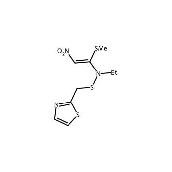 CCN(SCc1nccs1)C(=C[N+](=O)[O-])SC